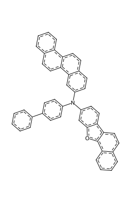 c1ccc(-c2ccc(N(c3ccc4c(c3)oc3c5ccccc5ccc43)c3ccc4ccc5c6ccccc6ccc5c4c3)cc2)cc1